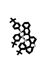 CC(C)(C)c1ccc(N2B3c4cc(C(C)(C)C)ccc4N(c4ccc(C(C)(C)C)cc4)c4c3c(cc3ccccc43)-c3ccc4sc5ccccc5c4c32)cc1